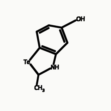 CC1Nc2cc(O)ccc2[Te]1